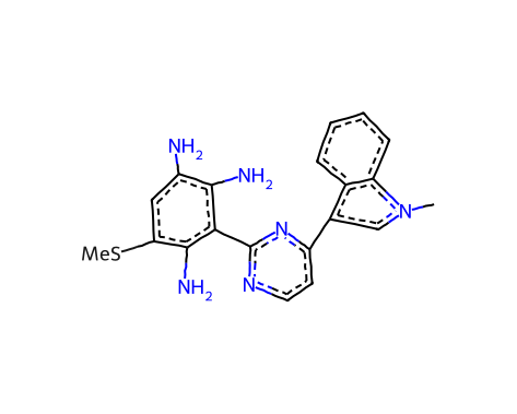 CSc1cc(N)c(N)c(-c2nccc(-c3cn(C)c4ccccc34)n2)c1N